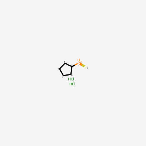 Cl.Cl.S=[PH2]C1CCCC1